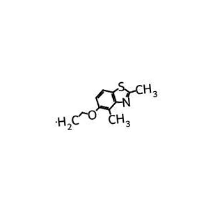 [CH2]COc1ccc2sc(C)nc2c1C